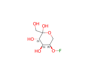 OCC1(O)OC[C@@H](OF)[C@@H](O)[C@@H]1O